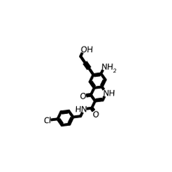 Nc1cc2[nH]cc(C(=O)NCc3ccc(Cl)cc3)c(=O)c2cc1C#CCO